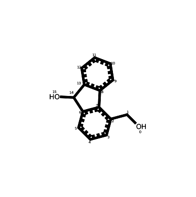 OCc1cccc2c1-c1ccccc1C2O